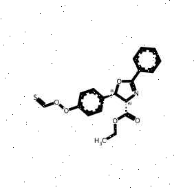 CCOC(=O)[C@H]1N=C(c2ccccc2)O[C@@H]1c1ccc(OOC=S)cc1